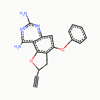 C#CC1Cc2c(Oc3ccccc3)cc3nc(N)nc(N)c3c2O1